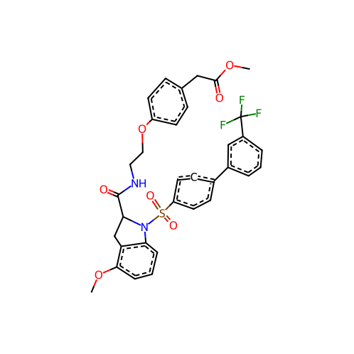 COC(=O)Cc1ccc(OCCNC(=O)C2Cc3c(OC)cccc3N2S(=O)(=O)c2ccc(-c3cccc(C(F)(F)F)c3)cc2)cc1